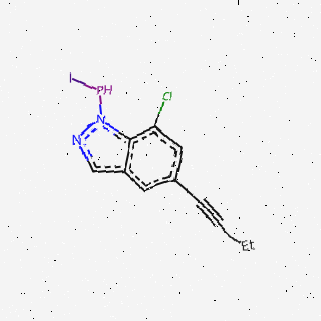 CCC#Cc1cc(Cl)c2c(cnn2PI)c1